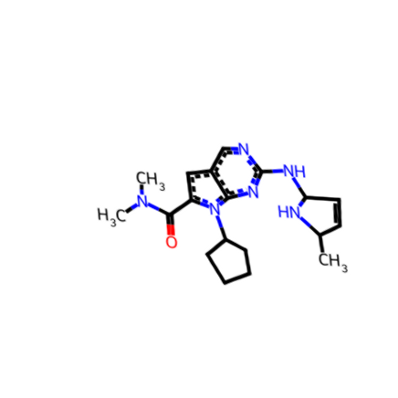 CC1C=CC(Nc2ncc3cc(C(=O)N(C)C)n(C4CCCC4)c3n2)N1